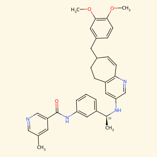 COc1ccc(CC2C=Cc3ncc(N[C@@H](C)c4cccc(NC(=O)c5cncc(C)c5)c4)cc3CC2)cc1OC